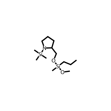 CCC[Si](C)(OC)OCC1CCCN1[Si](C)(C)C